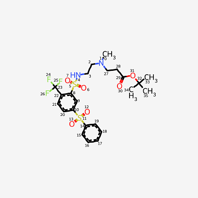 CN(CCNS(=O)(=O)c1cc(S(=O)(=O)c2ccccc2)ccc1C(F)(F)F)CCC(=O)OC(C)(C)C